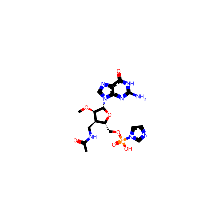 CO[C@@H]1[C@H](CNC(C)=O)[C@@H](COP(=O)(O)n2ccnc2)O[C@H]1n1cnc2c(=O)[nH]c(N)nc21